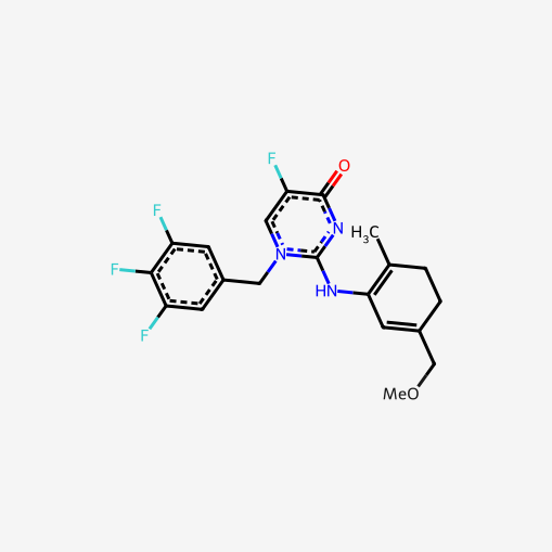 COCC1=CC(Nc2nc(=O)c(F)cn2Cc2cc(F)c(F)c(F)c2)=C(C)CC1